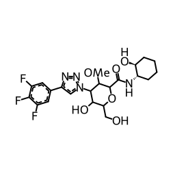 COC1C(C(=O)N[C@H]2CCCC[C@@H]2O)OC(CO)C(O)C1n1cc(-c2cc(F)c(F)c(F)c2)nn1